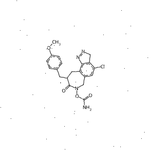 COc1ccc(CC2Cc3c(cc(Cl)c4c3N=NC4)CN(OC(N)=O)C2=O)cc1